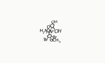 COc1c(Br)cc(CC2(C(N)=O)NCCc3cc(O)[c]cc32)cc1Br.Cl